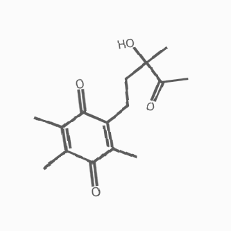 CC(=O)C(C)(O)CCC1=C(C)C(=O)C(C)=C(C)C1=O